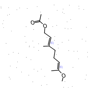 CO/C(C)=C/CC/C(C)=C/COC(C)=O